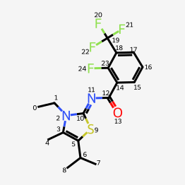 CCn1c(C)c(C(C)C)s/c1=N\C(=O)c1cccc(C(F)(F)F)c1F